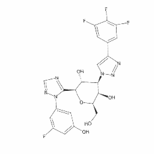 OC[C@H]1O[C@@H](c2ncnn2-c2cc(O)cc(F)c2)[C@H](O)[C@@H](n2cc(-c3cc(F)c(F)c(F)c3)nn2)[C@H]1O